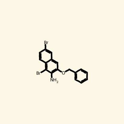 Nc1c(OCc2ccccc2)cc2cc(Br)ccc2c1Br